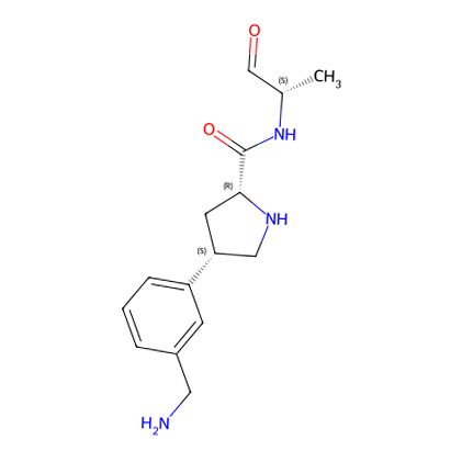 C[C@@H](C=O)NC(=O)[C@H]1C[C@@H](c2cccc(CN)c2)CN1